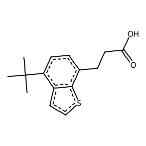 CC(C)(C)c1ccc(CCC(=O)O)c2sccc12